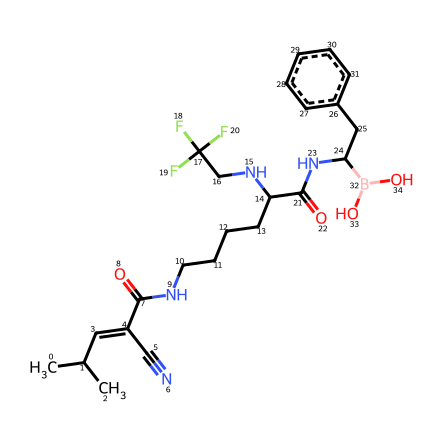 CC(C)C=C(C#N)C(=O)NCCCCC(NCC(F)(F)F)C(=O)NC(Cc1ccccc1)B(O)O